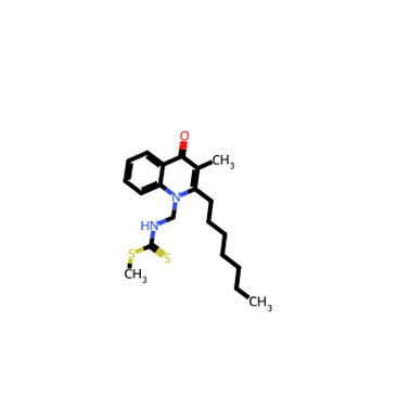 CCCCCCCc1c(C)c(=O)c2ccccc2n1CNC(=S)SC